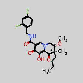 CCCC[C@@]1(C)C(=O)c2c(O)c(=O)c(C(=O)NCc3ccc(F)cc3F)cn2C[C@@H]1OC